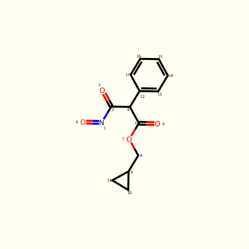 O=NC(=O)C(C(=O)OCC1CC1)c1ccccc1